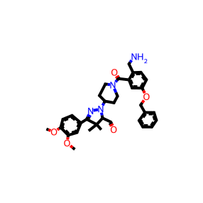 COc1ccc(C2=NN(C3CCN(C(=O)c4cc(OCc5ccccc5)ccc4CN)CC3)C(C=O)C2(C)C)cc1OC